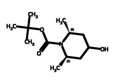 C[C@@H]1CC(O)C[C@@H](C)N1C(=O)OC(C)(C)C